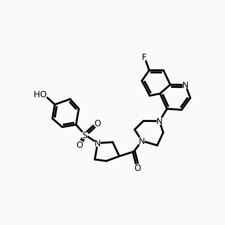 O=C(C1CCN(S(=O)(=O)c2ccc(O)cc2)C1)N1CCN(c2ccnc3cc(F)ccc23)CC1